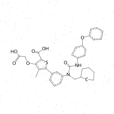 Cc1c(-c2cccc(N(CC3CCCCC3)C(=O)Nc3ccc(Oc4ccccc4)cc3)c2)sc(C(=O)O)c1OCC(=O)O